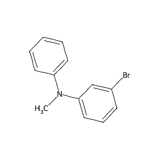 CN(c1ccccc1)c1cccc(Br)c1